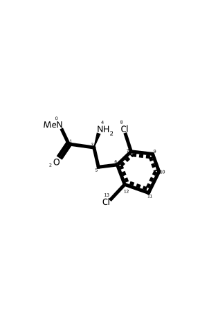 CNC(=O)[C@@H](N)Cc1c(Cl)cccc1Cl